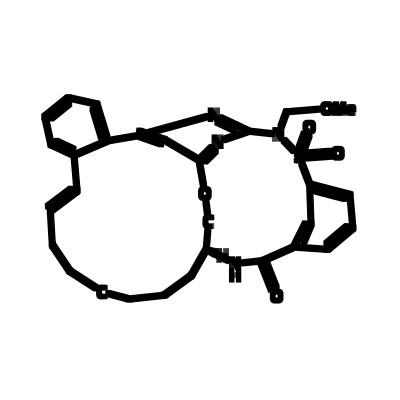 COCN1c2nc3cc(n2)-c2ccccc2/C=C/CCCCCC[C@H](CO3)NC(=O)c2cccc(c2)S1(=O)=O